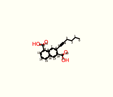 CCCCC#Cc1cc2c(C(=O)O)cccc2cc1C(=O)O